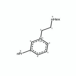 CCCCCCCC[n+]1cccc(CCC)c1